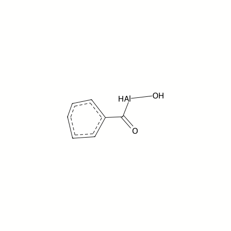 O=[C]([AlH][OH])c1ccccc1